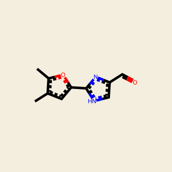 Cc1cc(-c2nc(C=O)c[nH]2)oc1C